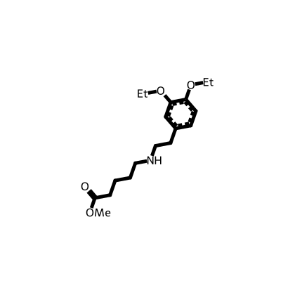 CCOc1ccc(CCNCCCCC(=O)OC)cc1OCC